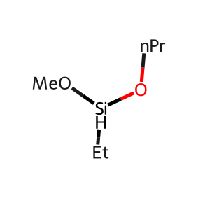 CCCO[SiH](CC)OC